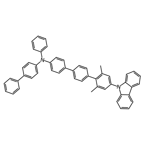 Cc1cc(-n2c3ccccc3c3ccccc32)cc(C)c1-c1ccc(-c2ccc(N(c3ccccc3)c3ccc(-c4ccccc4)cc3)cc2)cc1